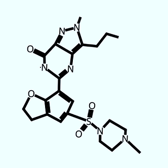 CCCc1c2c(nn1C)C(=O)[N]C(c1cc(S(=O)(=O)N3CCN(C)CC3)cc3c1OCC3)=N2